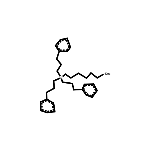 CCCCCCCCCCCCCCCC[Si](CCCc1ccccc1)(CCCc1ccccc1)CCCc1ccccc1